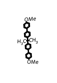 COc1ccc(-c2ccc(C(C)(C)c3ccc(-c4ccc(OC)cc4)cc3)cc2)cc1